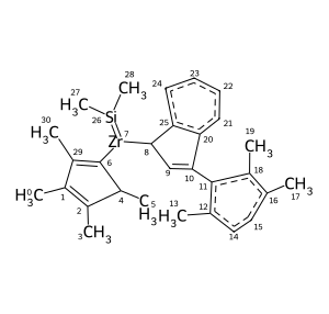 CC1=C(C)C(C)[C]([Zr]([CH]2C=C(c3c(C)ccc(C)c3C)c3ccccc32)=[Si](C)C)=C1C